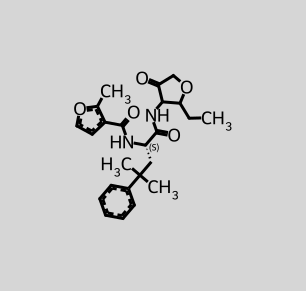 CCC1OCC(=O)C1NC(=O)[C@H](CC(C)(C)c1ccccc1)NC(=O)c1ccoc1C